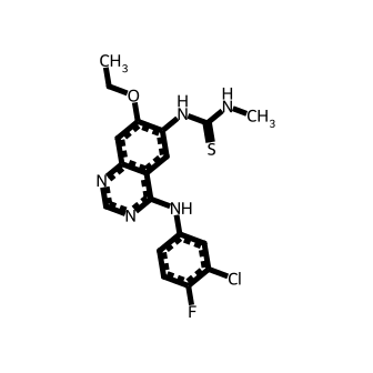 CCOc1cc2ncnc(Nc3ccc(F)c(Cl)c3)c2cc1NC(=S)NC